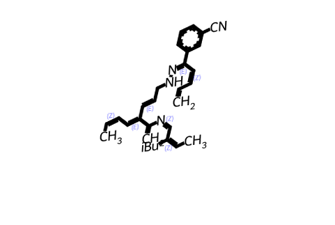 C=C/C=C\C(=N/NC/C=C/C(=C\C=C/C)C(=C)/N=C\C(=C/C)C(C)CC)c1cccc(C#N)c1